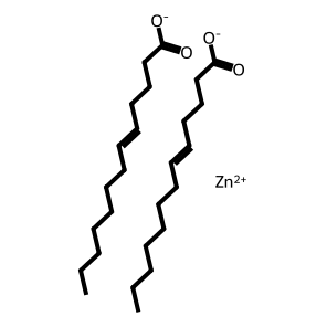 CCCCCCCC=CCCCC(=O)[O-].CCCCCCCC=CCCCC(=O)[O-].[Zn+2]